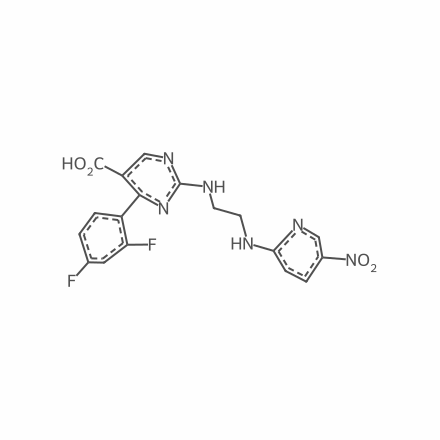 O=C(O)c1cnc(NCCNc2ccc([N+](=O)[O-])cn2)nc1-c1ccc(F)cc1F